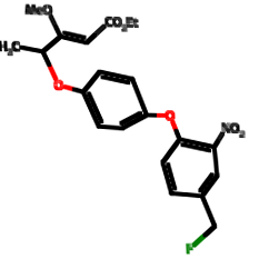 CCOC(=O)C=C(OC)C(C)Oc1ccc(Oc2ccc(CF)cc2[N+](=O)[O-])cc1